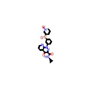 O=C(NC1CC1)c1nn(-c2cccc([S+]([O-])c3ccc[n+]([O-])c3)c2)c2ncccc2c1=O